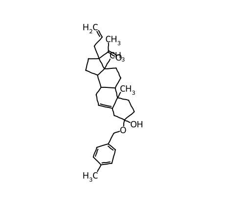 C=CCC1(C(C)=O)CCC2C3CC=C4CC(O)(OCc5ccc(C)cc5)CCC4(C)C3CCC21C